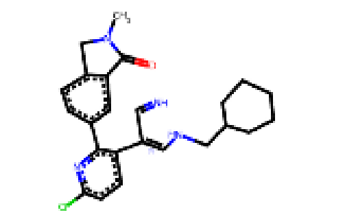 CN1Cc2ccc(-c3nc(Cl)ccc3/C(C=N)=C/NCC3CCCCC3)cc2C1=O